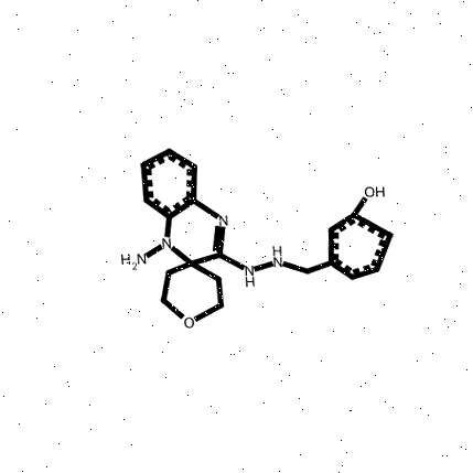 NN1c2ccccc2N=C(NNCc2cccc(O)c2)C12CCOCC2